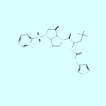 CC(C)(C)CC(NC(=O)Oc1ccsc1)C(=O)N1CCC2C1C(=O)CN2S(=O)(=O)c1cccc[n+]1[O-]